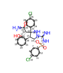 N=C(NS(=O)(=O)c1ccc(Cl)cc1)N1C[C@@H](c2ccccc2)C(c2ccc(Cl)cc2)([C@H](CO)C(N)=O)N1